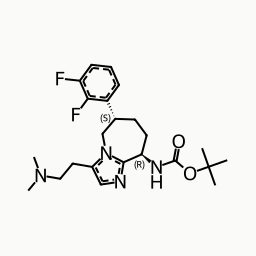 CN(C)CCc1cnc2n1C[C@H](c1cccc(F)c1F)CC[C@H]2NC(=O)OC(C)(C)C